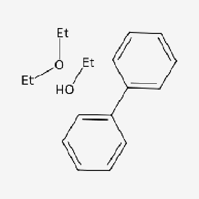 CCO.CCOCC.c1ccc(-c2ccccc2)cc1